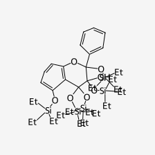 CC[Si](CC)(CC)Oc1cccc2c1C(O[Si](CC)(CC)CC)(O[Si](CC)(CC)CC)C(O)(O[Si](CC)(CC)CC)C(O[Si](CC)(CC)CC)(c1ccccc1)O2